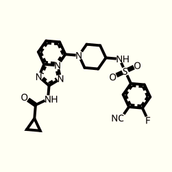 N#Cc1cc(S(=O)(=O)NC2CCN(c3cccc4nc(NC(=O)C5CC5)nn34)CC2)ccc1F